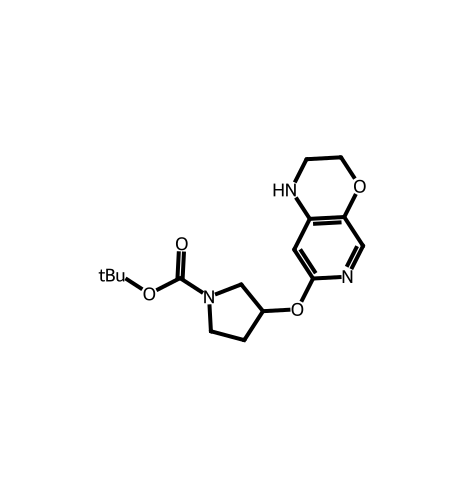 CC(C)(C)OC(=O)N1CCC(Oc2cc3c(cn2)OCCN3)C1